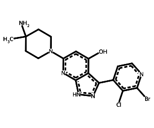 CC1(N)CCN(c2cc(O)c3c(-c4ccnc(Br)c4Cl)n[nH]c3n2)CC1